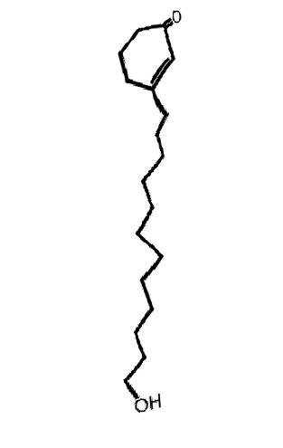 O=C1C=C(CCCCCCCCCCCCO)CCC1